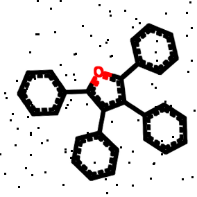 c1ccc(-c2oc(-c3ccccc3)c(-c3ccccc3)c2-c2ccccc2)cc1